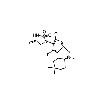 CN(Cc1cc(O)c(N2CC(=O)NS2(=O)=O)c(I)c1)C1CCC(C)(C)CC1